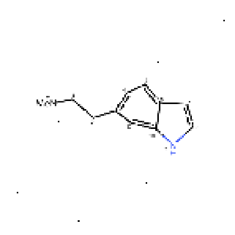 CNCCc1ccc2cc[nH]c2c1